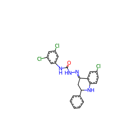 O=C(NN=C1CC(c2ccccc2)Nc2ccc(Cl)cc21)Nc1cc(Cl)cc(Cl)c1